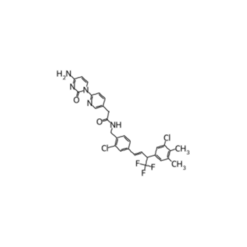 Cc1cc(C(/C=C/c2ccc(CNC(=O)Cc3ccc(-n4ccc(N)nc4=O)nc3)c(Cl)c2)C(F)(F)F)cc(Cl)c1C